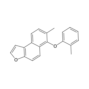 Cc1ccccc1Oc1c(C)ccc2c1ccc1occc12